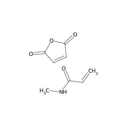 C=CC(=O)NC.O=C1C=CC(=O)O1